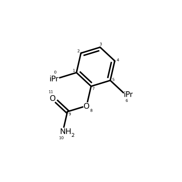 CC(C)c1cccc(C(C)C)c1OC(N)=O